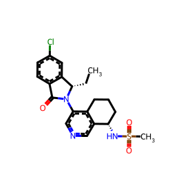 CC[C@H]1c2cc(Cl)ccc2C(=O)N1c1cncc2c1CCC[C@@H]2NS(C)(=O)=O